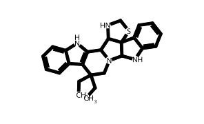 CCC1(CC)CN2C(c3[nH]c4ccccc4c31)C1NCSC13c1ccccc1NC23